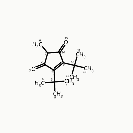 CC1C(=O)C(C(C)(C)C)=C(C(C)(C)C)C1=O